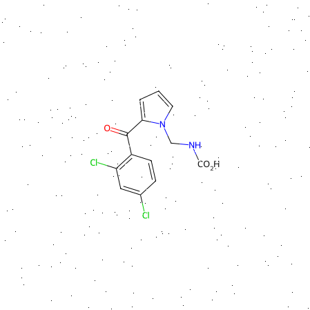 O=C(O)NCn1cccc1C(=O)c1ccc(Cl)cc1Cl